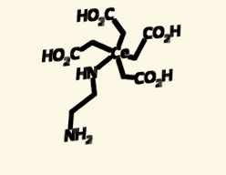 NCC[NH][Ce]([CH2]C(=O)O)([CH2]C(=O)O)([CH2]C(=O)O)[CH2]C(=O)O